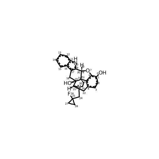 Oc1ccc2c3c1O[C@H]1c4[nH]c5ccccc5c4C[C@@]4(O)[C@@H](C2)N(CC2(F)CC2)CC[C@]314